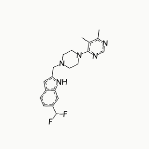 Cc1ncnc(N2CCN(Cc3cc4ccc(C(F)F)cc4[nH]3)CC2)c1C